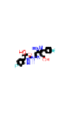 CC(C)(O)[C@@H](NC(=O)Nc1cc2[nH]nc(-c3ccc(F)cc3)c2c(CO)n1)c1ccc(F)cc1